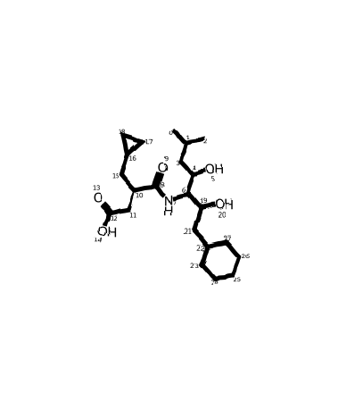 CC(C)CC(O)C(NC(=O)[C@@H](CC(=O)O)CC1CC1)C(O)CC1CCCCC1